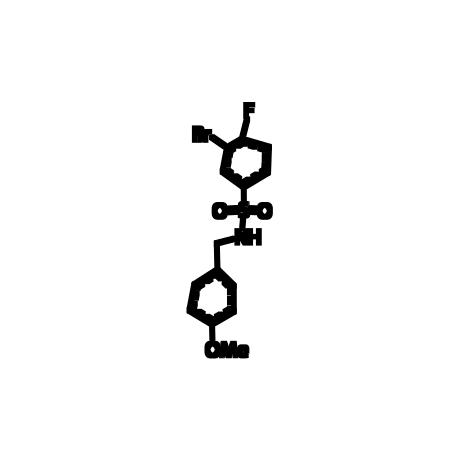 COc1ccc(CNS(=O)(=O)c2ccc(F)c(Br)c2)cc1